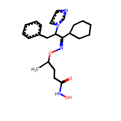 CC(CCC(=O)NO)ON=C(C1CCCCC1)C(Cc1ccccc1)n1ccnc1